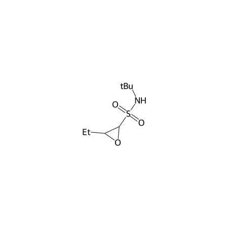 CCC1OC1S(=O)(=O)NC(C)(C)C